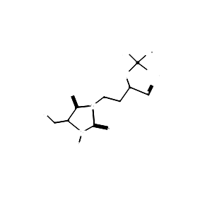 CN1C(=O)N(CCC(C=O)OC(C)(C)O)C(=O)C1CBr